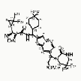 COCC(c1cnn2cc(C(NC(=O)c3nonc3[C@H]3CC3(F)F)C3CCC(F)(F)CC3)nc2c1)N1CC(F)(F)CNC1=O